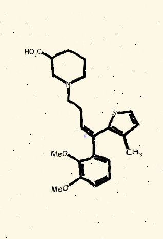 COc1cccc(/C(=C/CCN2CCCC(C(=O)O)C2)c2sccc2C)c1OC